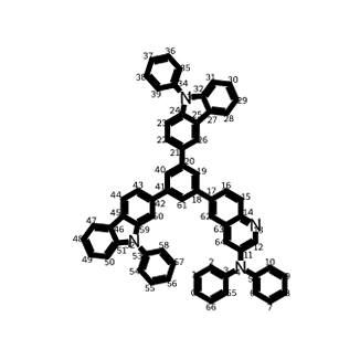 c1ccc(N(c2ccccc2)c2cnc3ccc(-c4cc(-c5ccc6c(c5)c5ccccc5n6-c5ccccc5)cc(-c5ccc6c7ccccc7n(-c7ccccc7)c6c5)c4)cc3c2)cc1